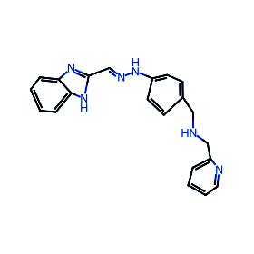 C(=N\Nc1ccc(CNCc2ccccn2)cc1)/c1nc2ccccc2[nH]1